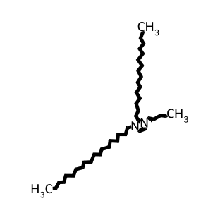 CCCCCCCCCCCCCCCCCCCn1cc[n+](CCCCC)c1CCCCCCCCCCCCCCCCC